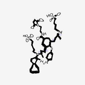 CC(/C=C/C1=C(Sc2ccc(N)cc2)C(=C/C=C(\C)N(CCCCS(=O)(=O)O)c2ccc3ccccc3c2C)/CC(C(=O)NCCN2C(=O)C=CC2=O)C1)=N/CCCCS(=O)(=O)O